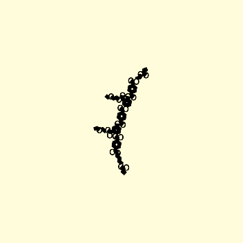 C=CC(=O)OCCCCOC(=O)C1CCC(C(=O)Oc2ccc(OC(=O)C3CCC(C(=O)Oc4ccc(OC(=O)C5CCC(C(=O)OCCOC(=O)C=C)CC5)c(C(=O)OCCOCC)c4)CC3)cc2C(=O)OCCOCC)CC1